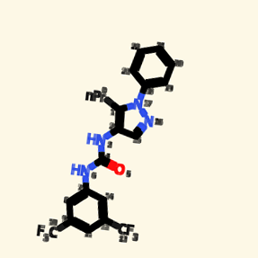 CCCc1c(NC(=O)Nc2cc(C(F)(F)F)cc(C(F)(F)F)c2)cnn1-c1ccccc1